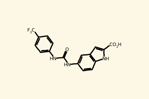 O=C(Nc1ccc(C(F)(F)F)cc1)Nc1ccc2[nH]c(C(=O)O)cc2c1